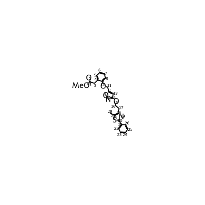 COC(=O)Cc1ccccc1OCc1cc(OCCc2nc(-c3ccccc3)sc2C)no1